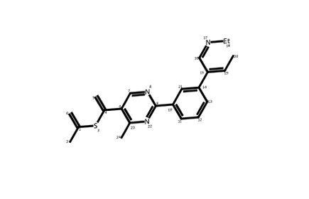 C=C(C)SC(=C)c1cnc(-c2cccc(C(/C=N\CC)=C/C)c2)nc1C